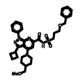 COCC1CCN(c2cc(C(=O)NS(=O)(=O)CCCOCc3ccccc3)nc3c2c(C2CCC2)nn3-c2ccccc2)CC1